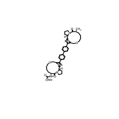 COC(=O)N[C@H]1CCCCOCc2[nH]c(nc2-c2ccc(-c3ccc(-c4nc5[nH]c4COCCCC[C@H](C)C(=O)N4CCC[C@@H]54)cc3)cc2)[C@@H]2CCCN2C1=O